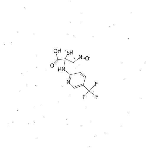 O=NCC(S)(Nc1ccc(C(F)(F)F)cn1)C(=O)O